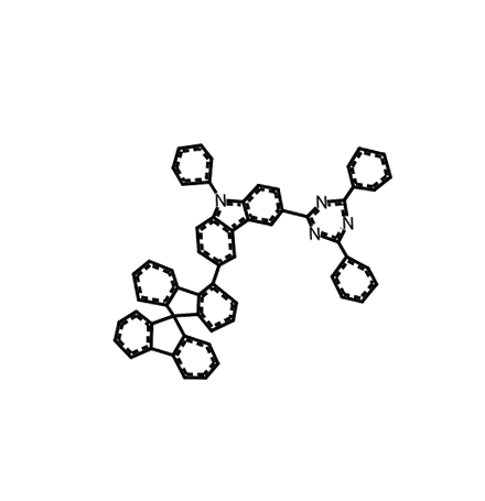 c1ccc(-c2nc(-c3ccccc3)nc(-c3ccc4c(c3)c3cc(-c5cccc6c5-c5ccccc5C65c6ccccc6-c6ccccc65)ccc3n4-c3ccccc3)n2)cc1